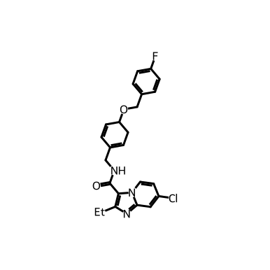 CCc1nc2cc(Cl)ccn2c1C(=O)NCC1=CCC(OCc2ccc(F)cc2)C=C1